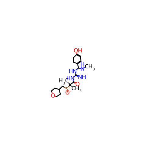 CNC(NC(=N)NC(=O)C(C)(C)[S+]([O-])CC1CCOCC1)C1=CC=C(O)CC1